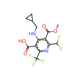 COC(=O)c1c(C(F)F)nc(C(F)(F)F)c(C(=O)O)c1NCC1CC1